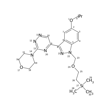 CC(C)Oc1ccc2c(c1)c(-c1cnnc(N3CCOCC3)n1)nn2COCC[Si](C)(C)C